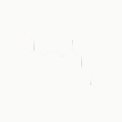 CC(=O)OCC=C(C)C=CC=C(C)C=O